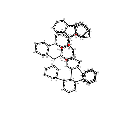 c1ccc(-c2ccc(-c3ccccc3N(c3cccc(-c4cccc(-c5ccccc5)c4-c4ccccc4-c4ccccc4)c3)c3cccc(-n4c5ccccc5c5ccccc54)c3)cc2)cc1